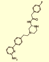 Nc1cccc(-c2ccc(CCN3CCNC(NC(=O)Cc4ccc(F)cc4)C3)cc2)n1